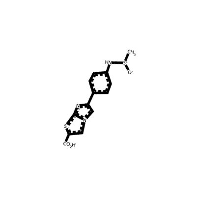 C[S+]([O-])Nc1ccc(-c2cn3cc(C(=O)O)sc3n2)cc1